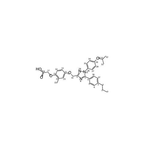 CCCc1ccc(-c2nc(COc3ccc(OCC(=O)O)c(C)c3)nn2-c2ccc(OC(C)C)cc2)cc1